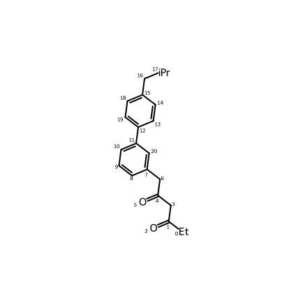 CCC(=O)CC(=O)Cc1cccc(-c2ccc(CC(C)C)cc2)c1